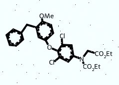 CCOC(=O)CN(C(=O)OCC)c1cc(Cl)c(Oc2ccc(OC)c(Cc3ccccc3)c2)c(Cl)c1